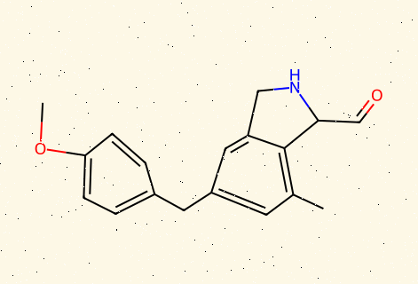 COc1ccc(Cc2cc(C)c3c(c2)CNC3C=O)cc1